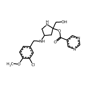 COc1ccc(CNC2CNC(CO)(OC(=O)c3cncnc3)C2)cc1Cl